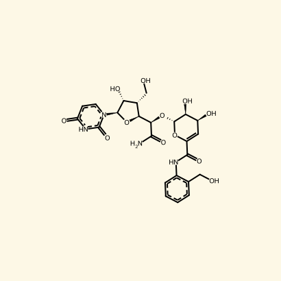 NC(=O)[C@H](O[C@H]1OC(C(=O)Nc2ccccc2CO)=C[C@H](O)[C@@H]1O)[C@H]1O[C@@H](n2ccc(=O)[nH]c2=O)[C@H](O)[C@@H]1CO